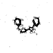 Cn1nc(-c2cccnc2)cc1-c1ccn(Cc2ccccn2)n1